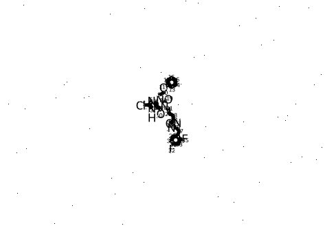 O=c1c2[nH]c(Cl)nc2n(CCOc2ccccc2)c(=O)n1CCCc1nc(Cc2ccc(F)cc2F)no1